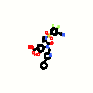 N#Cc1cc(S(=O)(=O)N2CC[C@@H]2C(=O)N(Cc2ccc(C3CCCCC3)cn2)c2ccc(C(=O)O)c(O)c2)cc(F)c1F